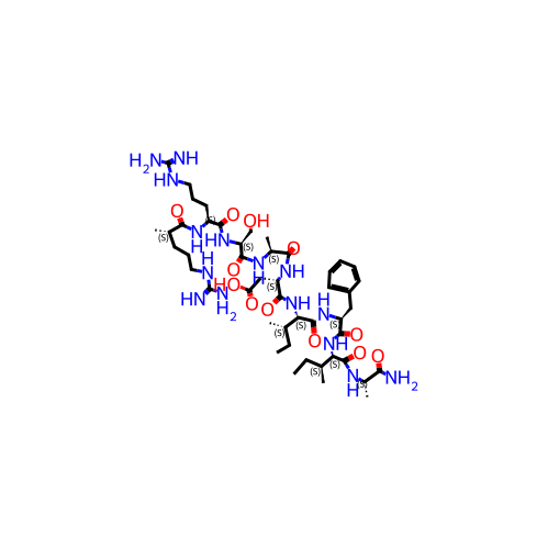 CC[C@H](C)[C@H](NC(=O)[C@H](Cc1ccccc1)NC(=O)[C@@H](NC(=O)[C@H](CC(=O)O)NC(=O)[C@H](C)NC(=O)[C@H](CO)NC(=O)[C@H](CCCNC(=N)N)NC(=O)[C@@H](C)CCCNC(=N)N)[C@@H](C)CC)C(=O)N[C@@H](C)C(N)=O